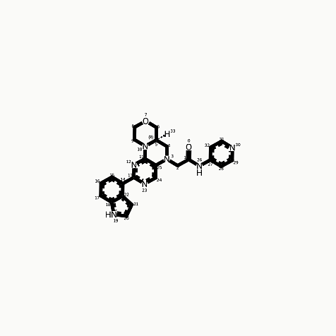 O=C(CN1C[C@@H]2COCCN2c2nc(-c3cccc4[nH]ccc34)ncc21)Nc1ccncc1